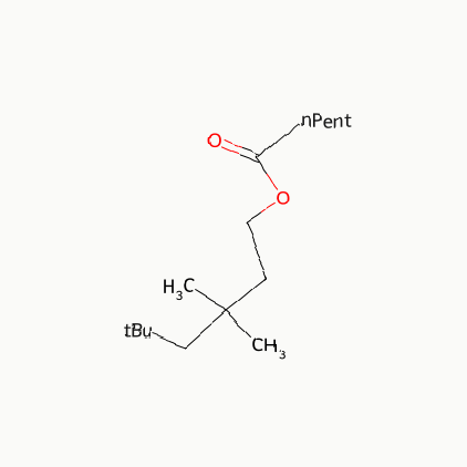 CCCCCC(=O)OCCC(C)(C)CC(C)(C)C